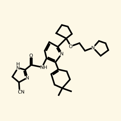 CC1(C)CC=C(c2nc(C3(OCCN4CCCC4)CCCC3)ccc2NC(=O)C2=NC(C#N)CN2)CC1